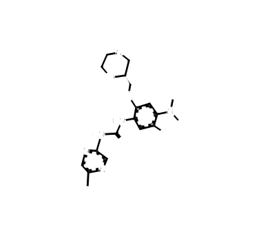 Cc1cnc(NC(=O)Nc2cc(Cl)c(N(C)C)cc2OC[C@@H]2CNCCO2)cn1